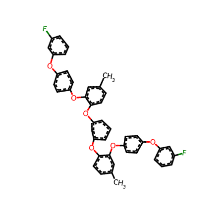 Cc1ccc(Oc2cccc(Oc3ccc(C)cc3Oc3ccc(Oc4cccc(F)c4)cc3)c2)c(Oc2ccc(Oc3cccc(F)c3)cc2)c1